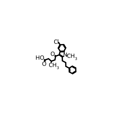 CC(CC(=O)O)CC(=O)c1c(CCCc2ccccc2)n(C)c2ccc(Cl)cc12